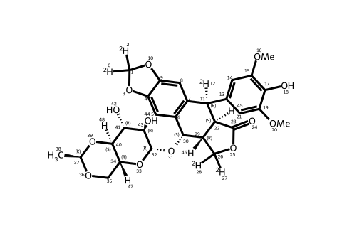 [2H]C1([2H])Oc2cc3c(cc2O1)[C@@]([2H])(c1cc(OC)c(O)c(OC)c1)[C@H]1C(=O)OC([2H])([2H])[C@@H]1[C@@H]3O[C@@H]1O[C@@H]2CO[C@@H](C)O[C@H]2[C@H](O)[C@H]1O